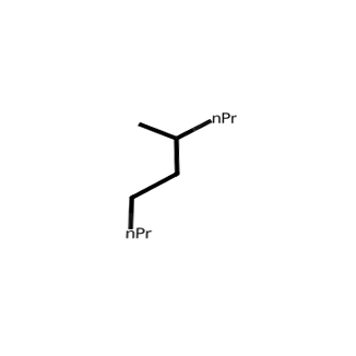 [CH2]CCCCC(C)C[CH]C